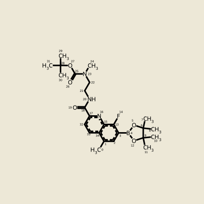 Cc1cc(B2OC(C)(C)C(C)(C)O2)c(F)c2nc(C(=O)NCCN(C)C(=O)OC(C)(C)C)ccc12